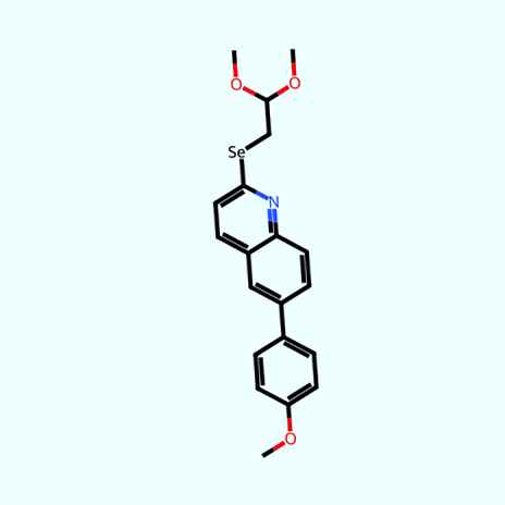 COc1ccc(-c2ccc3nc([Se]CC(OC)OC)ccc3c2)cc1